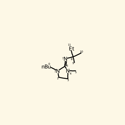 CCCCN1CCN(C)C1=NC(C)(C)CC